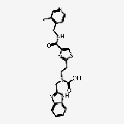 Cc1cnccc1CNC(=O)c1csc(CCN(Cc2nc3ccccc3[nH]2)C(=O)O)n1